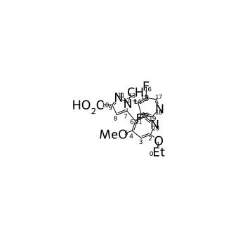 CCOc1cc(OC)c(C2=CC(C(=O)O)=N[N+]2(C)c2c(F)cncc2F)cn1